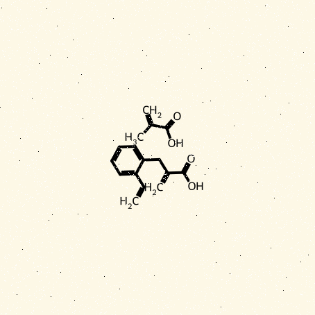 C=C(C)C(=O)O.C=Cc1ccccc1CC(=C)C(=O)O